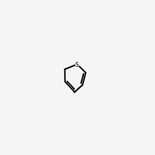 C1=CCSC=C1